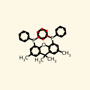 Cc1cc(P(c2ccccc2)c2ccccc2)c2c(c1)C(C)(C)c1cc(C)cc(P(c3ccccc3)c3ccccc3)c1O2